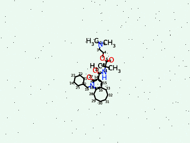 CN(C)CCOC(=O)C(C)(C)NC(=O)c1cc2c(n(CC3CCCCC3)c1=O)CCCCCC2